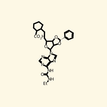 CCNC(=O)Nc1ncnc2c1ncn2C1OC(CCC2CCCCC2C(=O)O)C2O[C@H](c3ccccc3)OC21